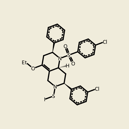 CCOC1=C2CN(SI)[C@H](c3cccc(Cl)c3)C[C@@H]2N(S(=O)(=O)c2ccc(Cl)cc2)[C@H](c2ccccc2)C1